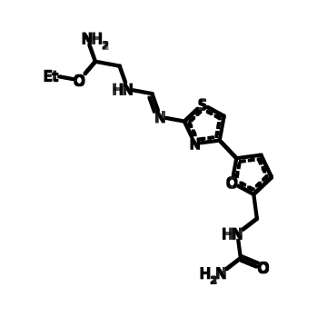 CCOC(N)CNC=Nc1nc(-c2ccc(CNC(N)=O)o2)cs1